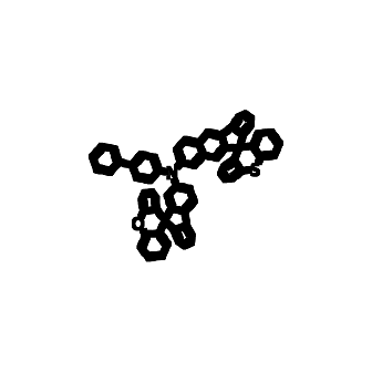 c1ccc(-c2ccc(N(c3ccc4c(c3)C3(c5ccccc5Oc5ccccc53)c3ccccc3-4)c3ccc4cc5c(cc4c3)C3(c4ccccc4Sc4ccccc43)c3ccccc3-5)cc2)cc1